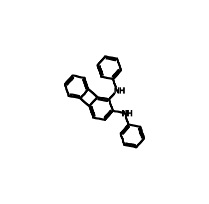 c1ccc(Nc2ccc3c(c2Nc2ccccc2)-c2ccccc2-3)cc1